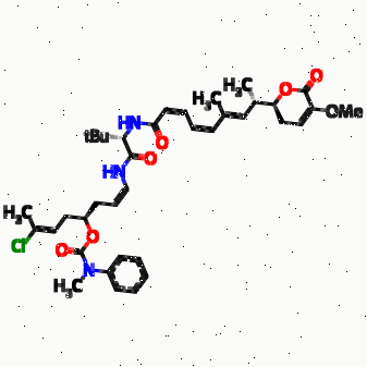 COC1=CC[C@@H]([C@@H](C)/C=C(C)/C=C\C=C/C(=O)N[C@H](C(=O)N/C=C\C[C@H](C/C=C(\C)Cl)OC(=O)N(C)c2ccccc2)C(C)(C)C)OC1=O